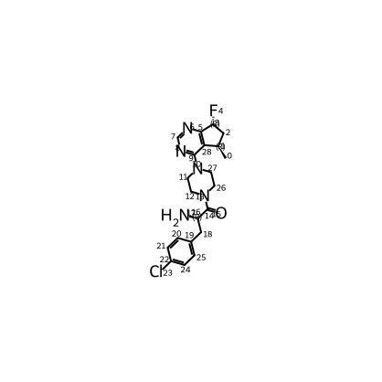 C[C@@H]1C[C@@H](F)c2ncnc(N3CCN(C(=O)[C@H](N)Cc4ccc(Cl)cc4)CC3)c21